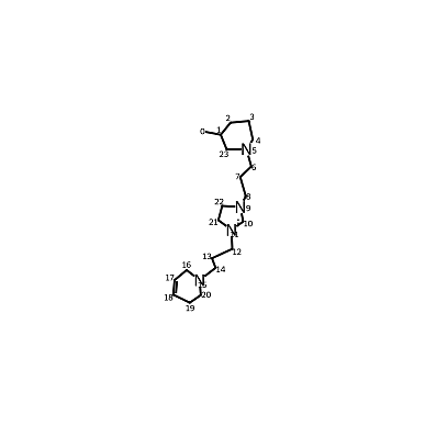 CC1CCCN(CCCN2[C]N(CCCN3CC=CCC3)CC2)C1